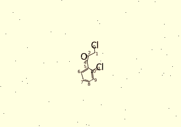 ClCC1OC1c1ccccc1Cl